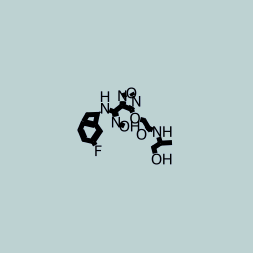 CC(CO)NC(=O)COc1nonc1C(=NO)N[C@H]1Cc2ccc(F)cc21